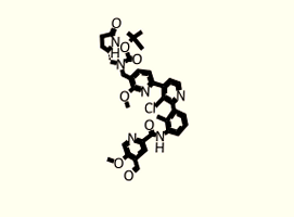 COc1cnc(C(=O)Nc2cccc(-c3nccc(-c4ccc(CN(C[C@@H]5CCC(=O)N5)C(=O)OC(C)(C)C)c(OC)n4)c3Cl)c2C)cc1C=O